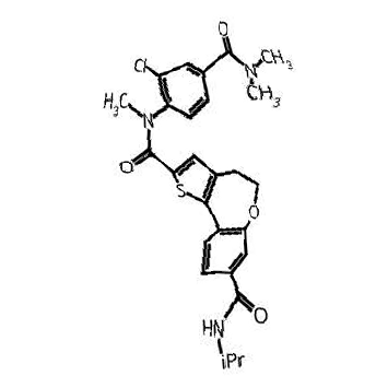 CC(C)NC(=O)c1ccc2c(c1)OCCc1cc(C(=O)N(C)c3ccc(C(=O)N(C)C)cc3Cl)sc1-2